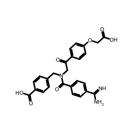 N=C(N)c1ccc(C(=O)N(CC(=O)c2ccc(OCC(=O)O)cc2)Cc2ccc(C(=O)O)cc2)cc1